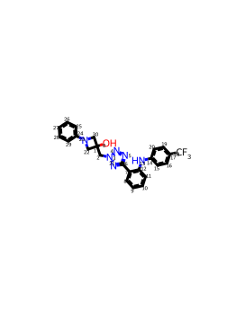 OC1(Cn2nnc(-c3ccccc3Nc3ccc(C(F)(F)F)cc3)n2)CN(c2ccccc2)C1